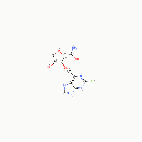 Cc1nc(F)nc2nc[nH]c12.NC(O)[C@H]1OC[C@H](O)[C@@H]1O